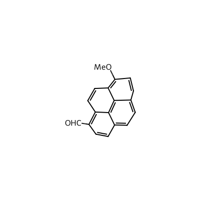 COc1ccc2ccc3ccc(C=O)c4ccc1c2c34